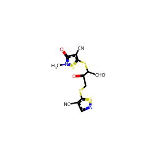 Cn1sc(SC([C]=O)C(=O)CSc2sncc2C#N)c(C#N)c1=O